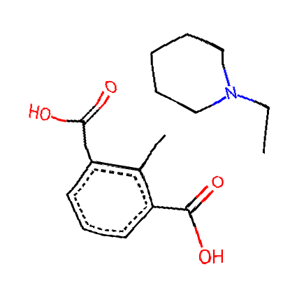 CCN1CCCCC1.Cc1c(C(=O)O)cccc1C(=O)O